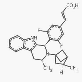 C[C@@H]1Cc2c([nH]c3ccccc23)[C@@H](c2c(F)cc(/C=C/C(=O)O)cc2F)N1C12CC(C1)[C@@H](C(F)(F)F)C2